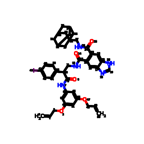 C=CCOc1cc(NC(=O)C(CNC(=O)c2cc3nc[nH]c3cc2C(=O)NCC23CC4CC(CC(C4)C2)C3)c2ccc(I)cc2)cc(OCC=C)c1